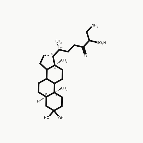 C[C@H](CCC(=O)C(CN)S(=O)(=O)O)[C@H]1CCC2C3CC[C@@H]4CC(O)(O)CC[C@]4(C)C3CC[C@@]21C